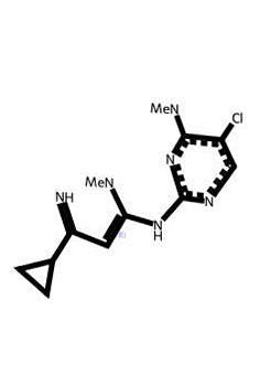 CN/C(=C\C(=N)C1CC1)Nc1ncc(Cl)c(NC)n1